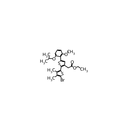 CCOC(=O)Cc1cc(-c2c(OC)cccc2OC(C)C)sc1-c1sc(Br)c(C)c1C